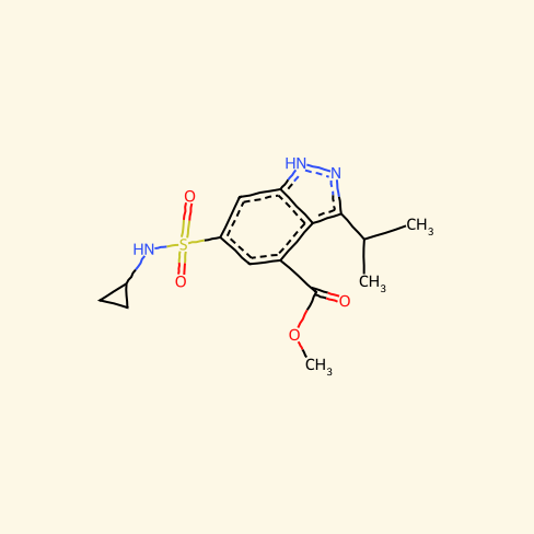 COC(=O)c1cc(S(=O)(=O)NC2CC2)cc2[nH]nc(C(C)C)c12